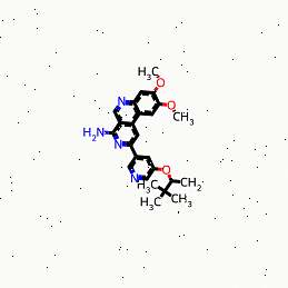 [CH2]C(Oc1cncc(-c2cc3c(cnc4cc(OC)c(OC)cc43)c(N)n2)c1)C(C)(C)C